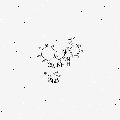 COc1nccc2[nH]c(C(NC(=O)c3conc3C)C3CCCCCCC3)nc12